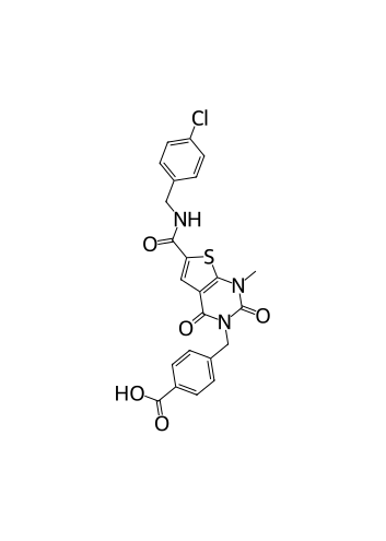 Cn1c(=O)n(Cc2ccc(C(=O)O)cc2)c(=O)c2cc(C(=O)NCc3ccc(Cl)cc3)sc21